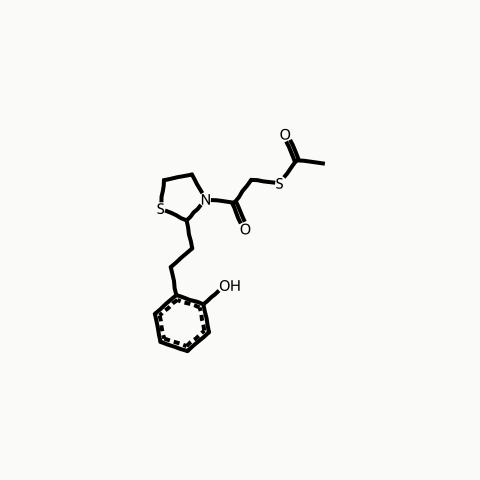 CC(=O)SCC(=O)N1CCSC1CCc1ccccc1O